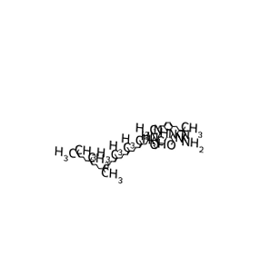 CCC[C@@H](CO)Nc1nc(N)nc(C)c1Cc1ccc(CN(C)CCNC(=O)CC/C(C)=C/CC/C(C)=C/CC/C(C)=C/CC/C=C(\C)CC/C=C(\C)CCC=C(C)C)cc1